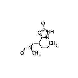 C/C=C\C(=C/N(C)C=O)c1n[nH]c(=O)o1